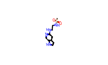 CS(=O)(=O)NCCNc1cc2cc[nH]c2cn1